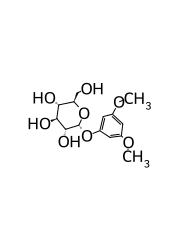 COc1cc(OC)cc(O[C@H]2O[C@H](CO)[C@@H](O)[C@H](O)[C@H]2O)c1